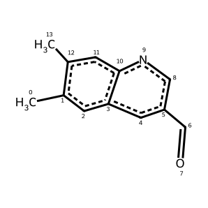 Cc1cc2cc(C=O)cnc2cc1C